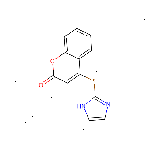 O=c1cc(Sc2ncc[nH]2)c2ccccc2o1